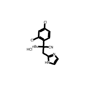 CCCCC(C#N)(Cc1ncc[nH]1)c1ccc(Cl)cc1Cl.Cl